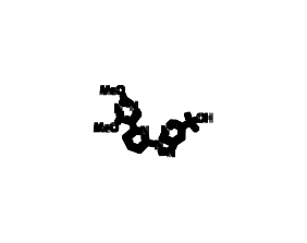 COc1ncc(-c2cccc(-n3cnc4cc(C(C)(C)O)cnc43)n2)c(OC)n1